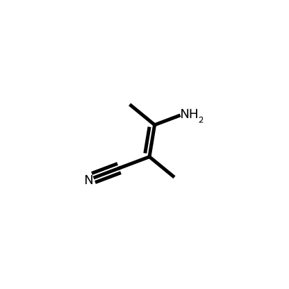 CC(N)=C(C)C#N